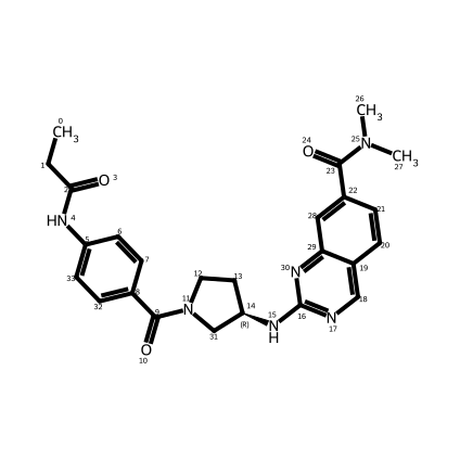 CCC(=O)Nc1ccc(C(=O)N2CC[C@@H](Nc3ncc4ccc(C(=O)N(C)C)cc4n3)C2)cc1